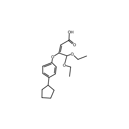 CCOC(OCC)C(=CC(=O)O)Oc1ccc(C2CCCC2)cc1